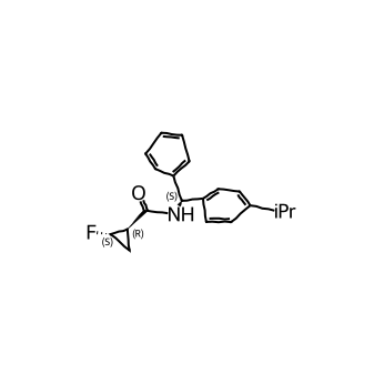 CC(C)c1ccc([C@@H](NC(=O)[C@H]2C[C@@H]2F)c2ccccc2)cc1